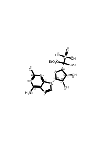 CCOC(=O)C(SC)([C@H]1O[C@@H](n2cnc3c(N)nc(Cl)nc32)[C@H](O)[C@@H]1O)P(=O)(O)O